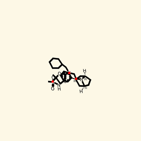 CC(C)(C)OC(=O)N(CCN1[C@@H]2CC[C@H]1C[C@@H](c1cccc(NS(C)(=O)=O)c1)C2)CC1CCCCC1